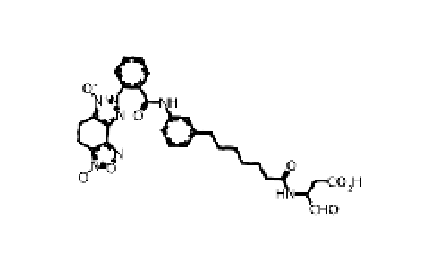 O=CC(CC(=O)O)NC(=O)CCCCCCc1cccc(NC(=O)c2ccccc2-n2nc3c([n+]2[O-])CCc2c-3no[n+]2[O-])c1